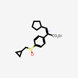 CCOC(=O)/C(=C/C1CCCC1)c1ccc([S+]([O-])CC2CC2)cc1